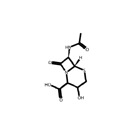 CC(=O)N[C@@H]1C(=O)N2C(C(=O)O)C(O)CS[C@@H]12